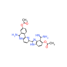 CC(=O)Oc1ccc(-c2cccc(-c3nc4c(C(=N)N)c(OC(C)=O)ccc4[nH]3)n2)c(C(=N)N)c1